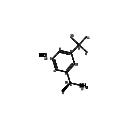 C[C@H](N)c1cccc(C(C)(C)C)c1.Cl